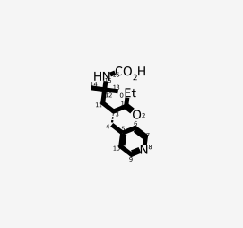 CCC(=O)[C@H](Cc1ccncc1)CC(C)(C)NC(=O)O